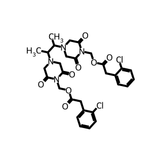 CC(C(C)N1CC(=O)N(COC(=O)Cc2ccccc2Cl)C(=O)C1)N1CC(=O)N(COC(=O)Cc2ccccc2Cl)C(=O)C1